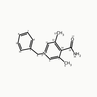 Cc1c[n+](Cc2ccccc2)cc(C)c1C(N)=O